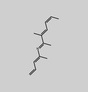 C=C/C=C(C)/N=C(C)/C(C)=C/C=C\C